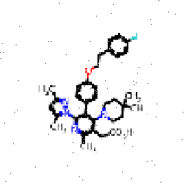 Cc1cc(C)n(-c2nc(C)c(CC(=O)O)c(N3CCC(C)(C)CC3)c2-c2ccc(OCCc3ccc(F)cc3)cc2)n1